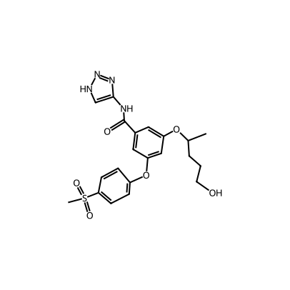 CC(CCCO)Oc1cc(Oc2ccc(S(C)(=O)=O)cc2)cc(C(=O)Nc2c[nH]nn2)c1